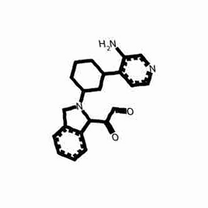 Nc1cnccc1C1CCCC(N2Cc3ccccc3C2C(=O)C=O)C1